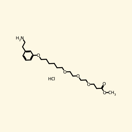 COC(=O)CCOCCOCCOCCCCCCOc1cccc(CCN)c1.Cl